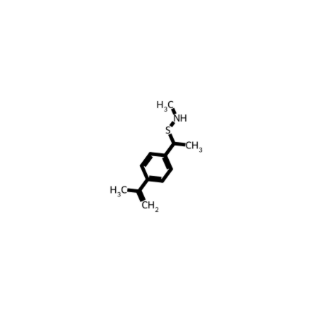 C=C(C)c1ccc(C(C)SNC)cc1